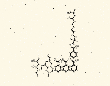 C=CC(CCCC)CC(CC)CCCC.C=CCCC(C)(C)CC.CCCC(O)CC(C)O.CCCC(O)CC(C)O.O=C(O)c1ccccc1.O=C(O)c1ccccc1.O=C(O)c1ccccc1.O=C(O)c1ccccc1